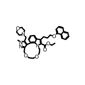 CCOC(=O)c1c(CCCOc2cccc3ccccc23)c2cccc3c2n1CCOCCOCc1nn(C)c(CN2CCOCC2)c1-3